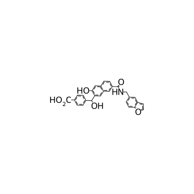 O=C(O)c1ccc(C(O)c2cc3cc(C(=O)NCc4ccc5occc5c4)ccc3cc2O)cc1